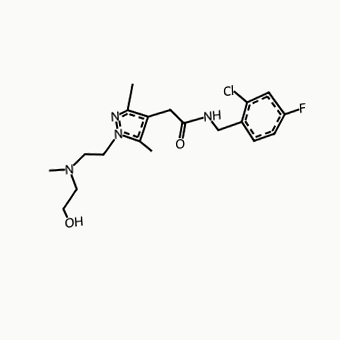 Cc1nn(CCN(C)CCO)c(C)c1CC(=O)NCc1ccc(F)cc1Cl